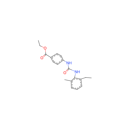 CCOC(=O)c1ccc(NC(=O)Nc2c(C)cccc2CC)cc1